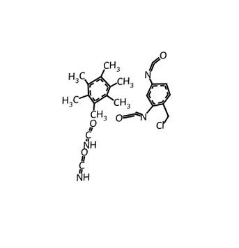 Cc1c(C)c(C)c(C)c(C)c1C.N=C=O.N=C=O.O=C=Nc1ccc(CCl)c(N=C=O)c1